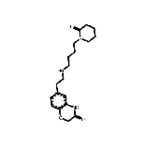 O=C1COc2ccc(CCNCCCCN3CCCCC3=O)cc2N1